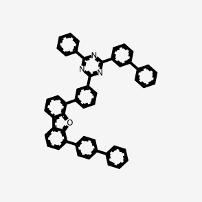 c1ccc(-c2ccc(-c3cccc4c3oc3c(-c5cccc(-c6nc(-c7ccccc7)nc(-c7cccc(-c8ccccc8)c7)n6)c5)cccc34)cc2)cc1